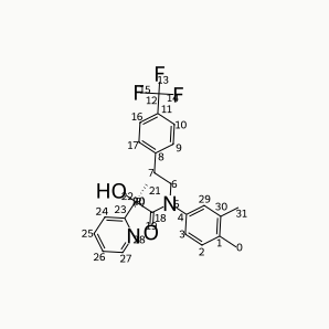 Cc1ccc(N(CCc2ccc(C(F)(F)F)cc2)C(=O)[C@](C)(O)c2ccccn2)cc1C